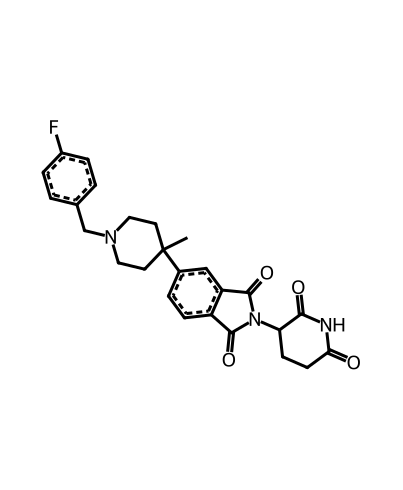 CC1(c2ccc3c(c2)C(=O)N(C2CCC(=O)NC2=O)C3=O)CCN(Cc2ccc(F)cc2)CC1